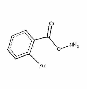 CC(=O)c1ccccc1C(=O)ON